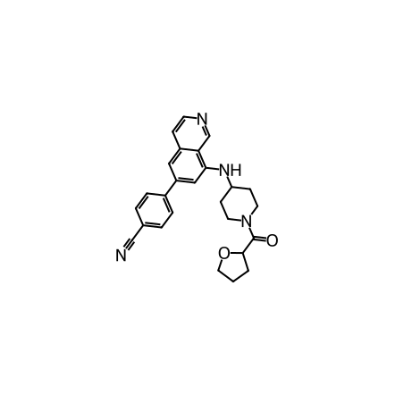 N#Cc1ccc(-c2cc(NC3CCN(C(=O)C4CCCO4)CC3)c3cnccc3c2)cc1